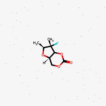 C[C@@H]1O[C@@H]2COC(=O)OC2[C@@]1(C)F